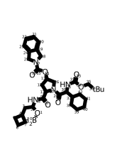 BOC(CC1CCC1)NC(=O)C1CC(OC(=O)N2Cc3ccccc3C2)CN1C(=O)C(NC(=O)OCC(C)(C)C)C1CCCCC1